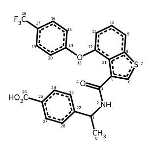 CC(NC(=O)c1csc2cccc(Oc3ccc(C(F)(F)F)cc3)c12)c1ccc(C(=O)O)cc1